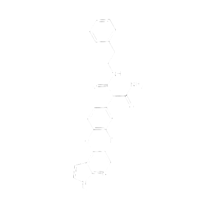 NC(=O)C(C(=O)NCCc1ccccc1)c1ccc(Oc2ccnc3[nH]ccc23)c(F)c1